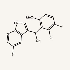 COc1ccc(F)c(Cl)c1C(O)c1c[nH]c2ncc(Br)cc12